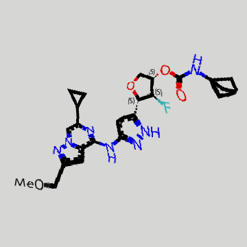 COCc1cc2c(Nc3cc([C@@H]4OC[C@H](OC(=O)NC56CC(C5)C6)[C@H]4F)[nH]n3)nc(C3CC3)cn2n1